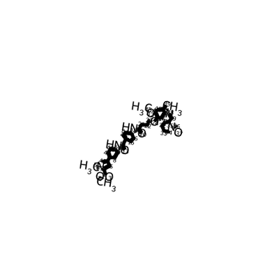 COC(=O)c1cc(-c2ccc(NC(=O)c3ccc(NC(=O)CCCOc4cc(/N=C\C5CCCCN5C=O)c(C)cc4OC)cc3)cc2)cn1C